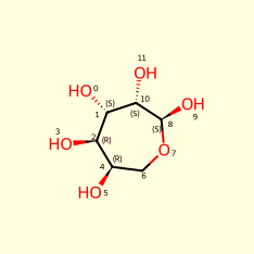 O[C@H]1[C@H](O)[C@H](O)CO[C@H](O)[C@H]1O